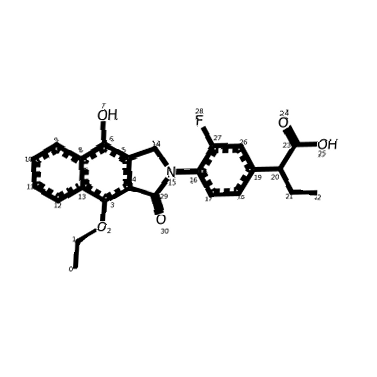 CCOc1c2c(c(O)c3ccccc13)CN(c1ccc(C(CC)C(=O)O)cc1F)C2=O